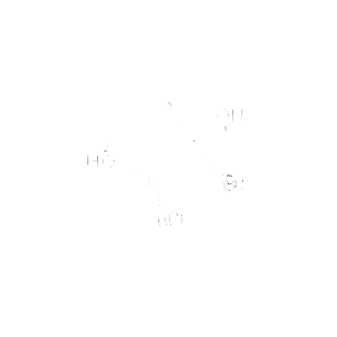 CCCC(O)C(C)(O)C(C)CC